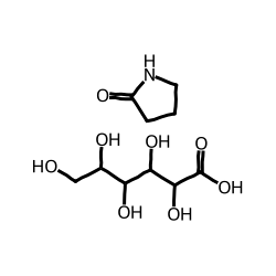 O=C(O)C(O)C(O)C(O)C(O)CO.O=C1CCCN1